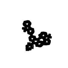 CC1(C)c2ccccc2-c2ccc(-c3ccc4c(-c5ncncn5)c5ccccc5c(-c5cccc6c5-c5ccccc5C6(C)C)c4c3)cc21